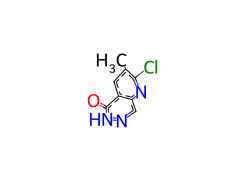 Cc1cc2c(=O)[nH]ncc2nc1Cl